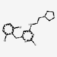 Clc1nc(Cc2c(Cl)cccc2Cl)cc(NCCN2CCCC2)n1